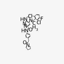 CC(c1c(Cl)ccc(F)c1Cl)N1CCNc2nnc(C(=O)Nc3ccc(CC(=O)N4CCCC4)cc3)cc21